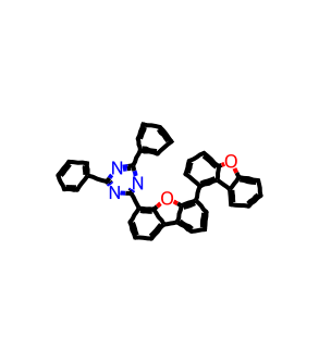 c1ccc(-c2nc(-c3ccccc3)nc(-c3cccc4c3oc3c(-c5cccc6oc7ccccc7c56)cccc34)n2)cc1